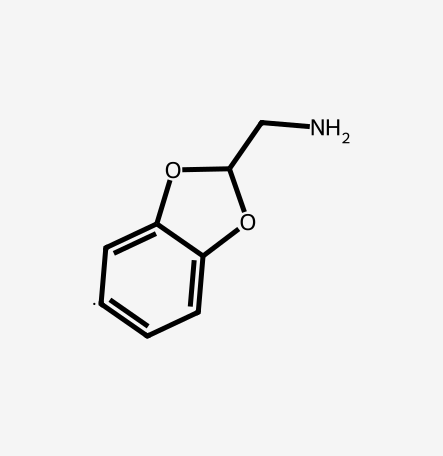 NCC1Oc2c[c]ccc2O1